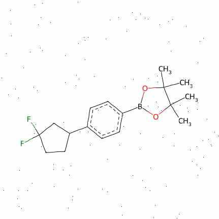 CC1(C)OB(c2ccc(C3CCC(F)(F)C3)cc2)OC1(C)C